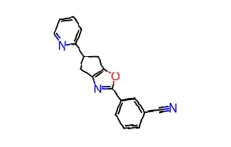 N#Cc1cccc(-c2nc3c(o2)CC(c2ccccn2)C3)c1